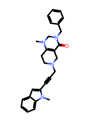 CN1CN(Cc2ccccc2)C(=O)C2=C1CCN(CC#Cc1cc3ccccc3n1C)C2